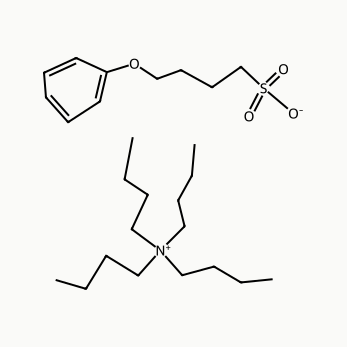 CCCC[N+](CCCC)(CCCC)CCCC.O=S(=O)([O-])CCCCOc1ccccc1